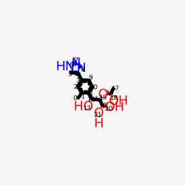 Cc1cc(-c2c[nH]nn2)ccc1C(O)C(OC(C)O)C(O)O